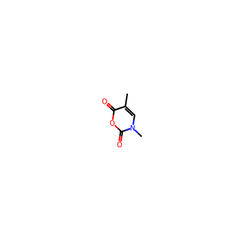 Cc1cn(C)c(=O)oc1=O